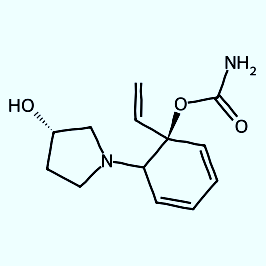 C=C[C@]1(OC(N)=O)C=CC=CC1N1CC[C@H](O)C1